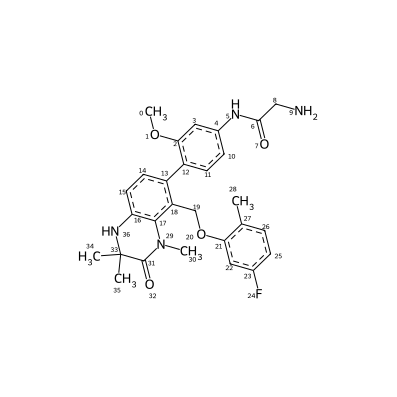 COc1cc(NC(=O)CN)ccc1-c1ccc2c(c1COc1cc(F)ccc1C)N(C)C(=O)C(C)(C)N2